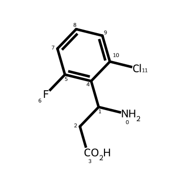 NC(CC(=O)O)c1c(F)cccc1Cl